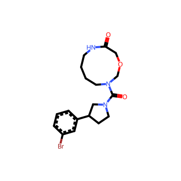 O=C1COCN(C(=O)N2CCC(c3cccc(Br)c3)C2)CCCCN1